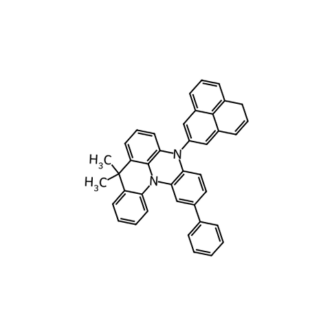 CC1(C)c2ccccc2N2c3cc(-c4ccccc4)ccc3N(c3cc4c5c(cccc5c3)CC=C4)c3cccc1c32